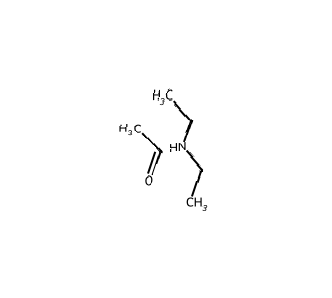 CC=O.CCNCC